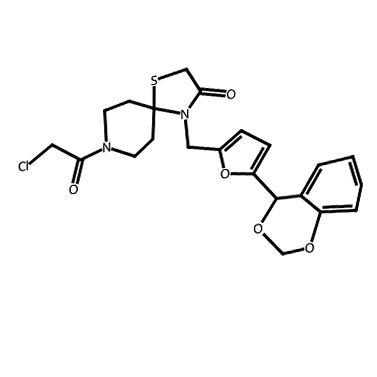 O=C(CCl)N1CCC2(CC1)SCC(=O)N2Cc1ccc(C2OCOc3ccccc32)o1